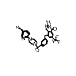 N#Cc1ccc(N2CCN(C(=O)c3cccc(Cc4cc(C(F)(F)F)cc5c(=O)[nH]ncc45)c3)CC2)nc1